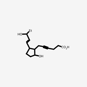 CCC(O)C=CC1CCC(O)C1CC#CCCC(=O)O